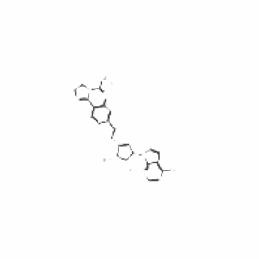 NC1=Nc2cc(CC[C@H]3C[C@@H](n4ccc5c(N)ncnc54)[C@H](O)[C@@H]3O)ccc2C2=NCCN12